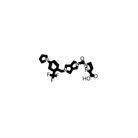 O=C(O)c1ccn(C(=O)N2CC3CN(Cc4ccc(N5CCCC5)cc4C(F)(F)F)CC3C2)n1